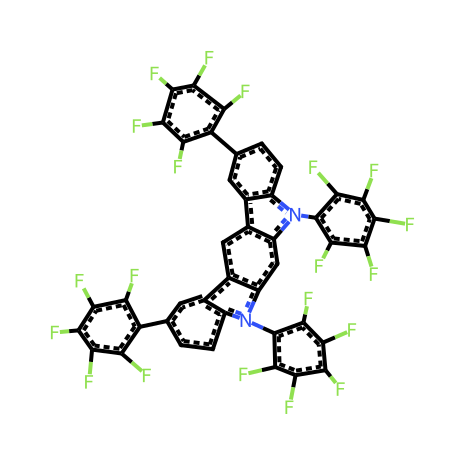 Fc1c(F)c(F)c(-c2ccc3c(c2)c2cc4c5cc(-c6c(F)c(F)c(F)c(F)c6F)ccc5n(-c5c(F)c(F)c(F)c(F)c5F)c4cc2n3-c2c(F)c(F)c(F)c(F)c2F)c(F)c1F